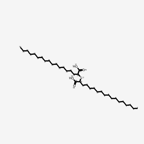 CCCCCCCCCCCCCCCCC(SC(CCCCCCCCCCCCCCCC)C(=O)O)C(=O)O